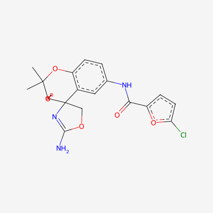 CC1(C)Oc2ccc(NC(=O)c3ccc(Cl)o3)cc2C2(COC(N)=N2)C12COC2